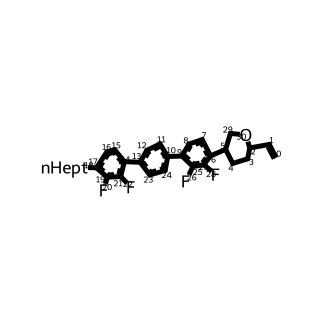 C=CC1CCC(c2ccc(-c3ccc(-c4ccc(CCCCCCC)c(F)c4F)cc3)c(F)c2F)CO1